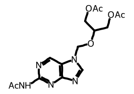 CC(=O)Nc1ncc2c(ncn2COC(COC(C)=O)COC(C)=O)n1